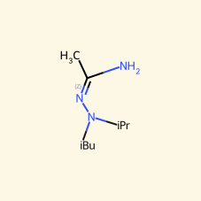 CCC(C)N(/N=C(/C)N)C(C)C